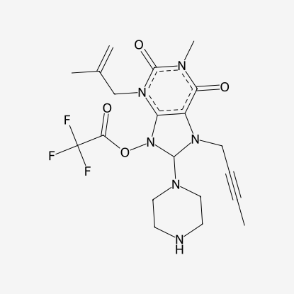 C=C(C)Cn1c2c(c(=O)n(C)c1=O)N(CC#CC)C(N1CCNCC1)N2OC(=O)C(F)(F)F